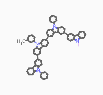 Cc1cccc(-n2c3ccc(-c4ccc5c(c4)c4ccccc4n5-c4ccccc4)cc3c3ccc(-c4ccc5c(c4)c4cc(-c6ccc7c(c6)c6ccccc6n7I)ccc4n5-c4ccccc4)cc32)c1